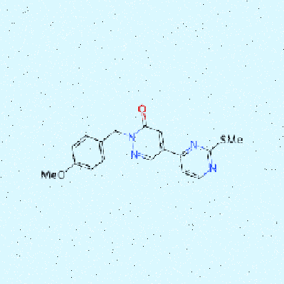 COc1ccc(Cn2ncc(-c3ccnc(SC)n3)cc2=O)cc1